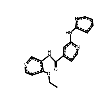 CCOc1ccncc1NC(=O)c1ccnc(Nc2ccccn2)c1